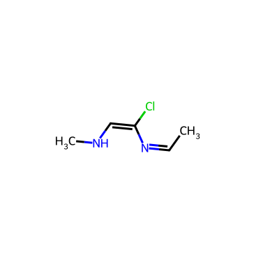 C/C=N\C(Cl)=C/NC